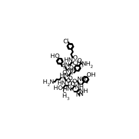 CC(O)C(NC(=O)[C@H](CCCCN)NC(=O)[C@@H](Cc1ccc(C(N)=O)cc1)NC(=O)[C@H](Cc1ccc(O)cc1)NC(=O)[C@@H](C)NC(=O)CCc1ccc(Cl)cc1)C(=O)N[C@@H](Cc1c[nH]nn1)C(=O)N[C@H](Cc1ccc(O)cc1)C(N)=O